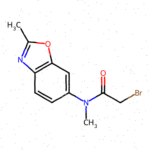 Cc1nc2ccc(N(C)C(=O)CBr)cc2o1